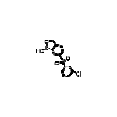 O=S(=O)(c1cccc(Cl)c1)c1ccc2c(c1)B(O)OC2